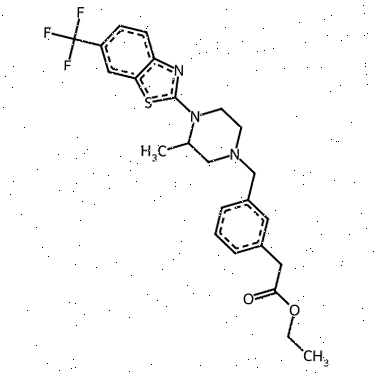 CCOC(=O)Cc1cccc(CN2CCN(c3nc4ccc(C(F)(F)F)cc4s3)C(C)C2)c1